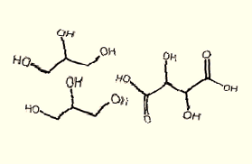 O=C(O)C(O)C(O)C(=O)O.OCC(O)CO.OCC(O)CO